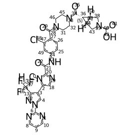 Cn1c(-c2cn(-c3ncccn3)nc2C(F)(F)F)cnc1C(=O)Nc1ccc(C(=O)N2CCN(C(=O)[C@@H]3[C@@H]4CN(C(=O)O)C[C@@H]43)CC2)c(Cl)c1